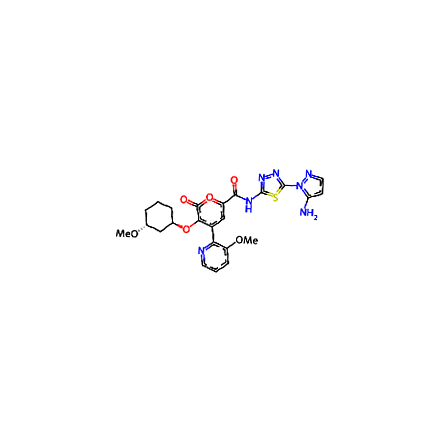 COc1cccnc1-c1cc(C(=O)Nc2nnc(-n3nccc3N)s2)oc(=O)c1O[C@@H]1CCC[C@@H](OC)C1